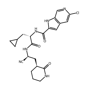 N#C[C@H](C[C@@H]1CCCNC1=O)NC(=O)[C@H](CC1CC1)NC(=O)c1cc2cc(Cl)ncc2[nH]1